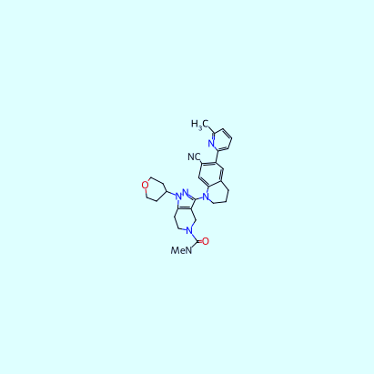 CNC(=O)N1CCc2c(c(N3CCCc4cc(-c5cccc(C)n5)c(C#N)cc43)nn2C2CCOCC2)C1